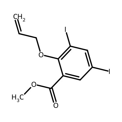 C=CCOc1c(I)cc(I)cc1C(=O)OC